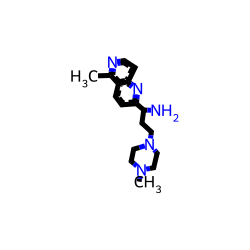 Cc1nccc2nc(C(N)CCN3CCN(C)CC3)ccc12